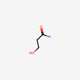 O=C(I)CCO